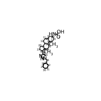 C[C@]12CC[C@@H](NC(=O)O)CC1=CCC1C2CC[C@@]2(C)C1CC[C@@H]2c1cn(Cc2ccccc2)nn1